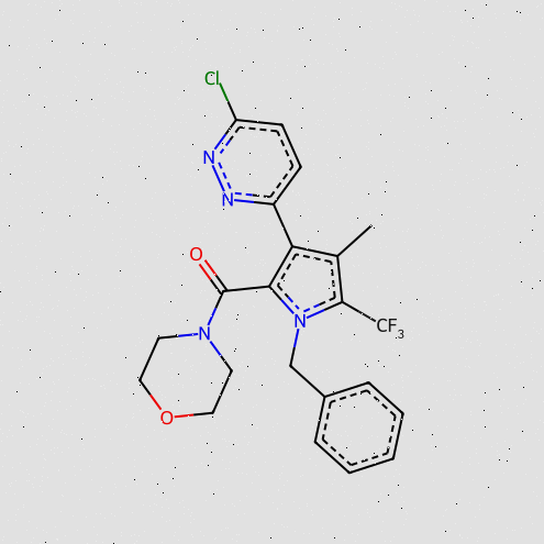 Cc1c(-c2ccc(Cl)nn2)c(C(=O)N2CCOCC2)n(Cc2ccccc2)c1C(F)(F)F